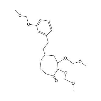 COCOc1cccc(CCC2CCCC(=O)C(OCOC)C(OCOC)C2)c1